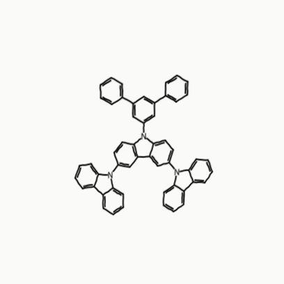 c1ccc(-c2cc(-c3ccccc3)cc(-n3c4ccc(-n5c6ccccc6c6ccccc65)cc4c4cc(-n5c6ccccc6c6ccccc65)ccc43)c2)cc1